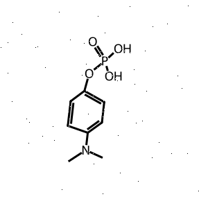 CN(C)c1ccc(OP(=O)(O)O)cc1